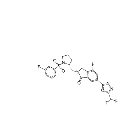 O=C1c2cc(-c3nnc(C(F)F)o3)cc(F)c2CN1C[C@H]1CCCN1S(=O)(=O)c1cccc(F)c1